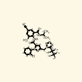 Cc1cc(C#N)cc(C(=O)NC(C)C)c1NC(=O)c1cc(Cn2nnnc2C(F)(F)C(F)(F)F)nn1-c1ccccc1Cl